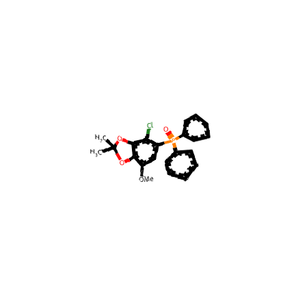 COc1cc(P(=O)(c2ccccc2)c2ccccc2)c(Cl)c2c1OC(C)(C)O2